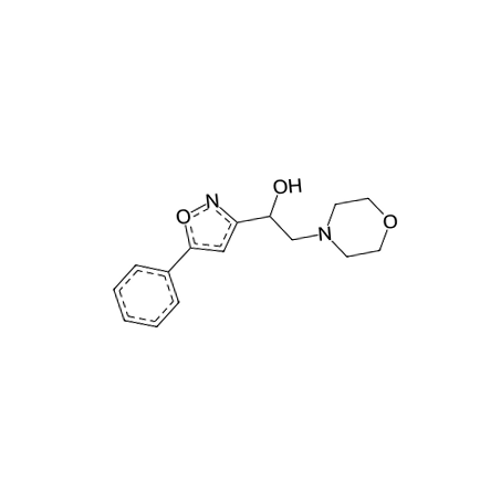 OC(CN1CCOCC1)c1cc(-c2ccccc2)on1